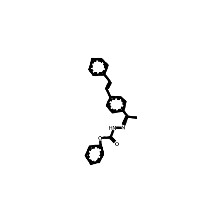 C/C(=N/NC(=O)Oc1ccccc1)c1ccc(/C=C/c2ccccc2)cc1